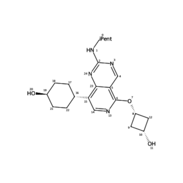 CCCC(C)Nc1ncc2c(O[C@H]3C[C@@H](O)C3)ncc([C@H]3CC[C@H](O)CC3)c2n1